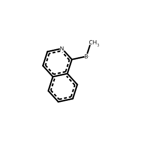 C[B]c1nccc2ccccc12